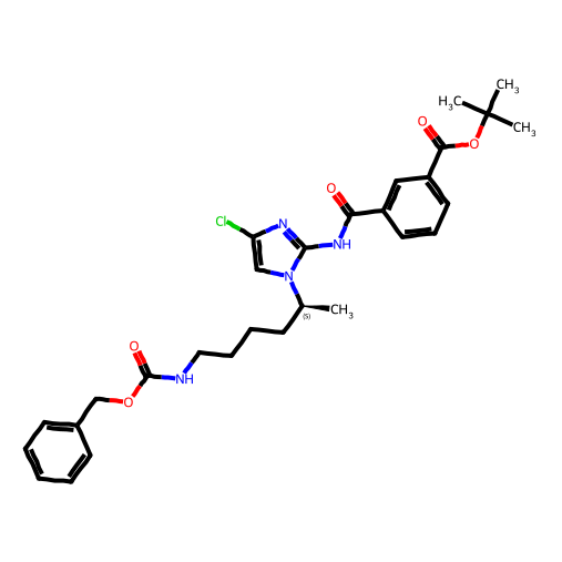 C[C@@H](CCCCNC(=O)OCc1ccccc1)n1cc(Cl)nc1NC(=O)c1cccc(C(=O)OC(C)(C)C)c1